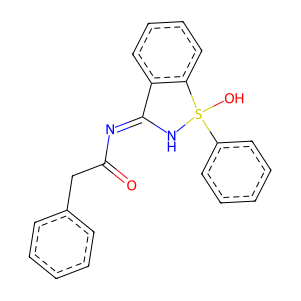 O=C(Cc1ccccc1)N=C1NS(O)(c2ccccc2)c2ccccc21